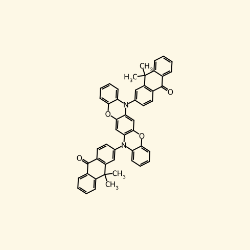 CC1(C)c2ccccc2C(=O)c2ccc(-n3c4ccccc4oc4cc5c(cc43)oc3ccccc3n5-c3ccc4c(c3)C(C)(C)c3ccccc3C4=O)cc21